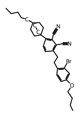 CCCCCC12CCC(c3ccc(CCc4ccc(OCCCC)cc4Br)c(C#N)c3C#N)(CC1)CC2